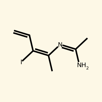 C=C/C(I)=C(C)\N=C(\C)N